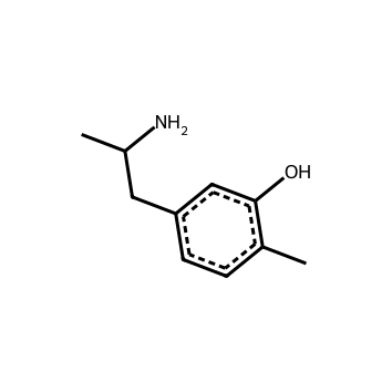 Cc1ccc(CC(C)N)cc1O